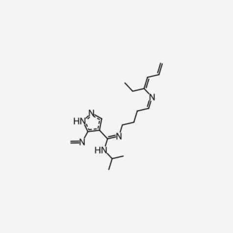 C=C/C=C(CC)\N=C/CCC/N=C(/NC(C)C)c1cn[nH]c1N=C